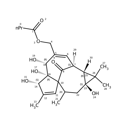 CCCC(=O)OCC1=C[C@@H]2C(=O)C3(C=C(C)[C@H](O)[C@@]3(O)[C@@H]1O)C(C)C[C@]1(O)[C@H]2C1(C)C